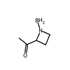 BN1CCC1C(C)=O